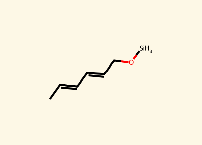 CC=CC=CCO[SiH3]